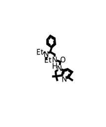 CCN(CC)C(CNC(=O)N1CC(C)(C)c2nc(C)ccc21)c1ccccc1